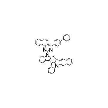 c1ccc(-c2ccc(-c3nc(-n4c5ccccc5c5c6c7ccccc7n7c8cc9ccccc9cc8c(cc54)c67)nc4c3ccc3ccccc34)cc2)cc1